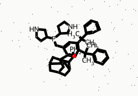 CC(C)(c1ccccc1)c1cc(CP(C2CCNC2)C2CCNC2)c(C23CC4CC(CC(C4)C2CP)C3)cc1C(C)(C)c1ccccc1